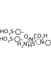 Cc1ccc(S(=O)(=O)O)cc1.Cc1ccc(S(=O)(=O)O)cc1.NC1C(=O)N2C(C(=O)O)C3(CCN(c4ccccc4)CC3)S[C@@H]12